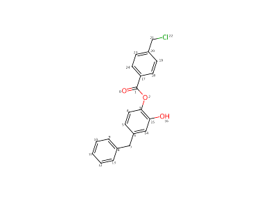 O=C(Oc1ccc(Cc2ccccc2)cc1O)c1ccc(CCl)cc1